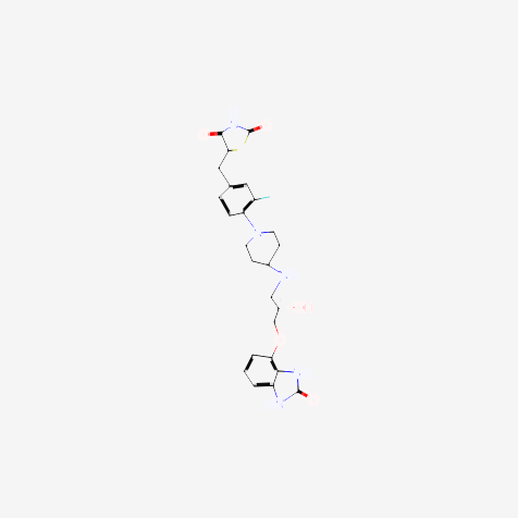 O=C1NC(=O)C(Cc2ccc(N3CCC(NC[C@H](O)COc4cccc5[nH]c(=O)[nH]c45)CC3)c(F)c2)S1